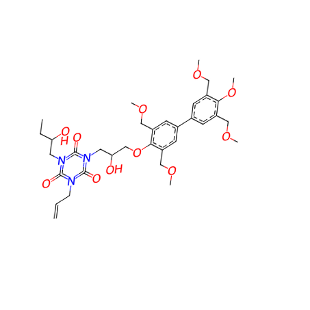 C=CCn1c(=O)n(CC(O)CC)c(=O)n(CC(O)COc2c(COC)cc(-c3cc(COC)c(OC)c(COC)c3)cc2COC)c1=O